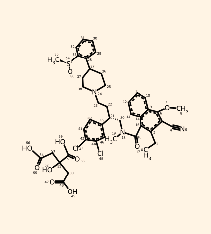 CCc1c(C#N)c(OC)c2ccccc2c1C(=O)N(C)C[C@@H](CCN1CCC(c2ccccc2[S@+](C)[O-])CC1)c1ccc(Cl)c(Cl)c1.O=C(O)CC(O)(CC(=O)O)C(=O)O